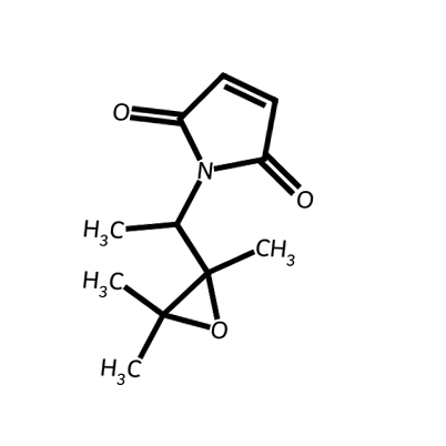 CC(N1C(=O)C=CC1=O)C1(C)OC1(C)C